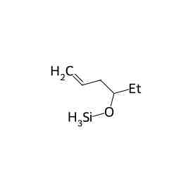 C=CCC(CC)O[SiH3]